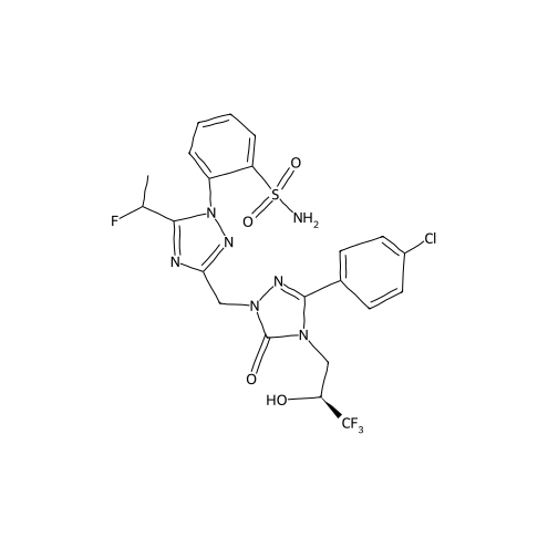 CC(F)c1nc(Cn2nc(-c3ccc(Cl)cc3)n(C[C@H](O)C(F)(F)F)c2=O)nn1-c1ccccc1S(N)(=O)=O